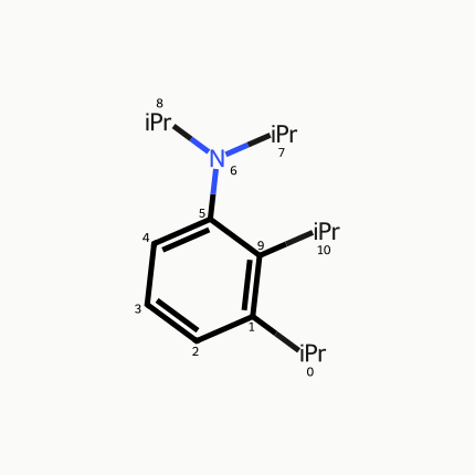 CC(C)c1cccc(N(C(C)C)C(C)C)c1C(C)C